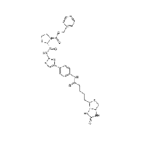 O=C(CCCCC1SCC2NC(=O)NC21)Nc1ccc(-c2csc(NC(=O)[C@@H]3CCCN3C(=O)OCc3ccccc3)n2)cc1